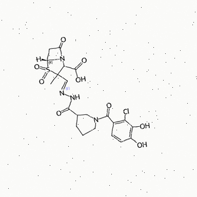 CC1(/C=N/NC(=O)C2CCCN(C(=O)c3ccc(O)c(O)c3Cl)C2)C(C(=O)O)N2C(=O)C[C@H]2S1(=O)=O